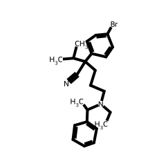 CCN(CCCC(C#N)(c1ccc(Br)cc1)C(C)C)C(C)c1ccccc1